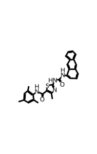 Cc1cc(C)c(NC(=O)c2sc(NC(=O)Nc3cccc4cc5ccccc5cc34)nc2C)c(C)c1